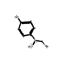 CC[C@H](C)CN(C)c1ccc(O)cc1